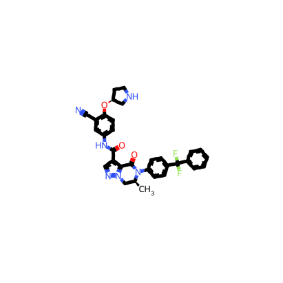 C[C@H]1Cn2ncc(C(=O)Nc3ccc(O[C@@H]4CCNC4)c(C#N)c3)c2C(=O)N1c1ccc(C(F)(F)c2ccccc2)cc1